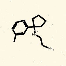 Cc1cccc(C2(NCCN)CCCC2)c1